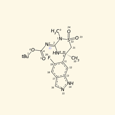 CN1/C(=N/C(=O)OC(C)(C)C)N[C@](C)(c2cc3[nH]ncc3cc2F)CS1(=O)=O